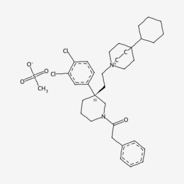 CS(=O)(=O)[O-].O=C(Cc1ccccc1)N1CCC[C@](CC[N+]23CCC(C4CCCCC4)(CC2)CC3)(c2ccc(Cl)c(Cl)c2)C1